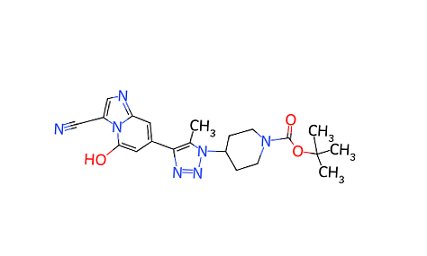 Cc1c(-c2cc(O)n3c(C#N)cnc3c2)nnn1C1CCN(C(=O)OC(C)(C)C)CC1